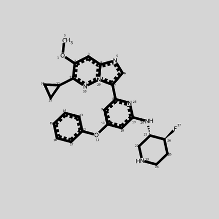 COc1cc2ncc(-c3cc(Oc4ccccc4)cc(N[C@H]4CNCC[C@@H]4F)n3)n2nc1C1CC1